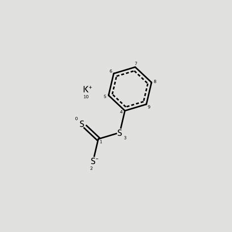 S=C([S-])Sc1ccccc1.[K+]